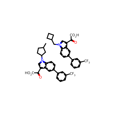 CC1CCC(n2cc(C(=O)C(=O)O)c3cc(-c4cccc(C(F)(F)F)c4)ccc32)C1.O=C(O)C(=O)c1cn(CC2CCC2)c2ccc(-c3cccc(C(F)(F)F)c3)cc12